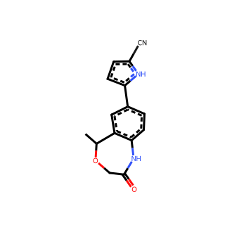 CC1OCC(=O)Nc2ccc(-c3ccc(C#N)[nH]3)cc21